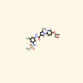 Cc1cc(C(=O)Nc2cc(Cl)cc(NS(C)(=O)=O)c2)cn1-c1ccc(OC2COC2)cn1